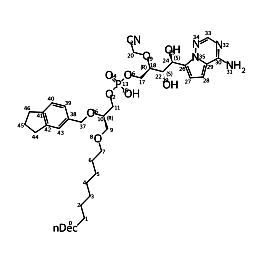 CCCCCCCCCCCCCCCCCOC[C@H](COP(=O)(O)OC[C@@H](OCC#N)[C@@H](O)[C@@H](O)c1ccc2c(N)ncnn12)OCc1ccc2c(c1)CCC2